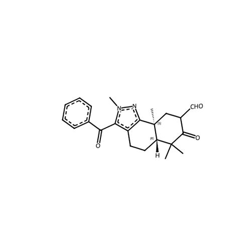 Cn1nc2c(c1C(=O)c1ccccc1)CC[C@H]1C(C)(C)C(=O)C(C=O)C[C@]21C